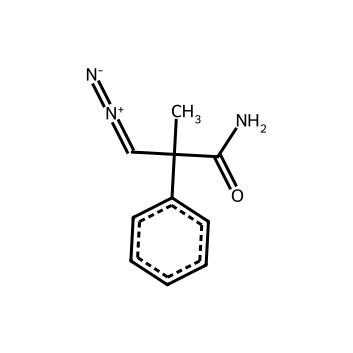 CC(C=[N+]=[N-])(C(N)=O)c1ccccc1